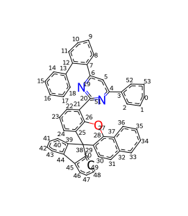 c1ccc(-c2cc(-c3ccccc3-c3ccccc3)nc(-c3cccc4c3Oc3c(ccc5ccccc35)C43c4ccccc4-c4ccccc43)n2)cc1